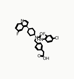 O=C(O)Cc1ccc(CN(C(=O)Nc2ccc(Cl)cc2F)[C@H]2CC[C@H](c3ccnc4ccc(F)cc43)CC2)cc1